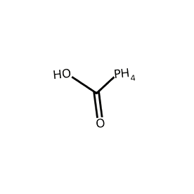 O=C(O)[PH4]